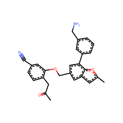 CC(=O)Cc1ccc(C#N)cc1OCc1cc(-c2cccc(CN)c2)c2oc(C)cc2c1